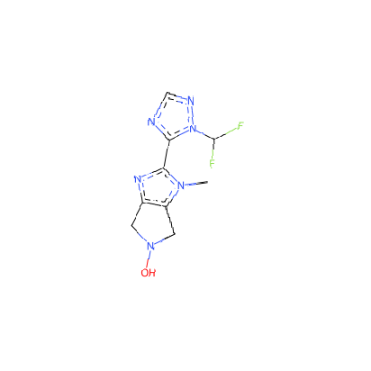 Cn1c(-c2ncnn2C(F)F)nc2c1CN(O)C2